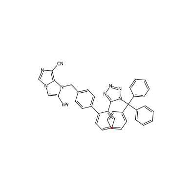 CCCc1cn2cnc(C#N)c2n1Cc1ccc(-c2ccccc2-c2nnnn2C(c2ccccc2)(c2ccccc2)c2ccccc2)cc1